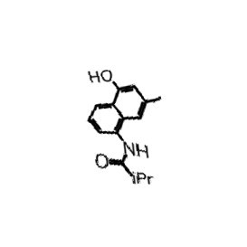 Cc1cc(O)c2cccc(NC(=O)C(C)C)c2c1